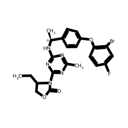 CCC1COC(=O)N1c1nc(C)nc(N[C@@H](C)c2ccc(Oc3ccc(F)cc3Br)cc2)n1